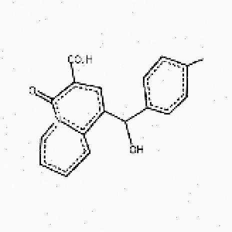 Cc1ccc(C(O)c2cc(C(=O)O)c(=O)n3ccccc23)cc1